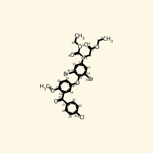 CCOC(=O)CN(C(=O)OCC)c1cc(Br)c(Oc2ccc(OC)c(C(=O)c3ccc(Cl)cc3)c2)c(Br)c1